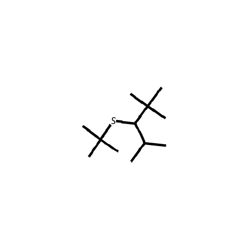 CC(C)C(SC(C)(C)C)C(C)(C)C